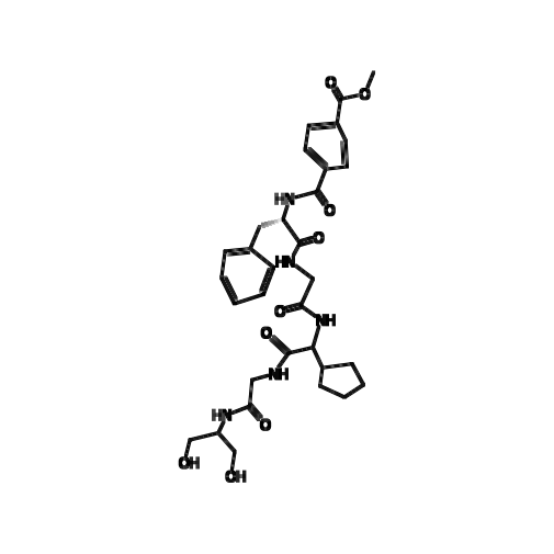 COC(=O)c1ccc(C(=O)N[C@@H](Cc2ccccc2)C(=O)NCC(=O)NC(C(=O)NCC(=O)NC(CO)CO)C2CCCC2)cc1